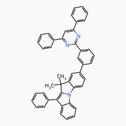 CC1(C)c2cc(-c3cccc(-c4nc(-c5ccccc5)cc(-c5ccccc5)n4)c3)ccc2-n2c1c(-c1ccccc1)c1ccccc12